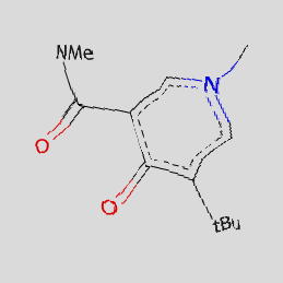 CNC(=O)c1cn(C)cc(C(C)(C)C)c1=O